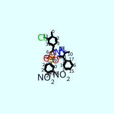 Cc1ccc(C(C)n2nc(C)c(-c3ccccc3)c2OS(=O)(=O)c2ccc([N+](=O)[O-])c([N+](=O)[O-])c2)cc1Cl